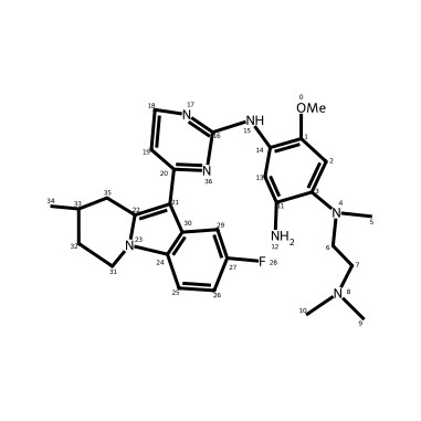 COc1cc(N(C)CCN(C)C)c(N)cc1Nc1nccc(-c2c3n(c4ccc(F)cc24)CCC(C)C3)n1